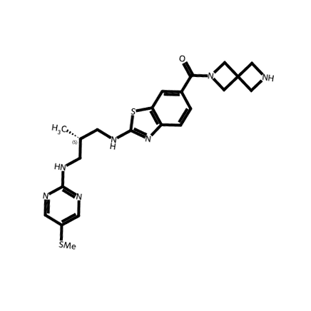 CSc1cnc(NC[C@H](C)CNc2nc3ccc(C(=O)N4CC5(CNC5)C4)cc3s2)nc1